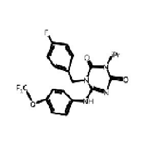 CC(C)n1c(=O)nc(Nc2ccc(OC(F)(F)F)cc2)n(Cc2ccc(F)cc2)c1=O